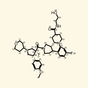 COc1ccc([C@@H]2CN(C3CCOCC3)C[C@@]2(F)C(=O)N2CCC(c3ccc(F)cc3N3CCC(C(=O)NCCO)CC3)CC2)cc1